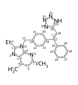 CCc1nc2c(C)cc(C)nc2n1Cc1ccc(/C(=C\c2nnn[nH]2)c2ccccc2)cc1